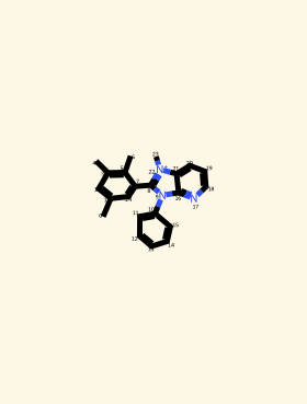 Cc1cc(C)c(C)c(-c2n(-c3ccccc3)c3ncccc3[n+]2C)c1